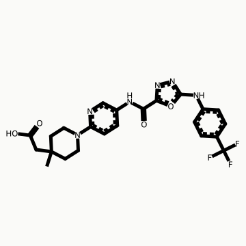 CC1(CC(=O)O)CCN(c2ccc(NC(=O)c3nnc(Nc4ccc(C(F)(F)F)cc4)o3)cn2)CC1